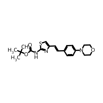 CC(C)(C)OC(=O)Nc1nc(C=Cc2ccc(N3CCOCC3)cc2)cs1